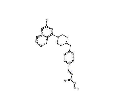 COC(=O)/C=C/c1ccc(CN2CCN(c3nc(Cl)cc4ccccc34)CC2)cc1